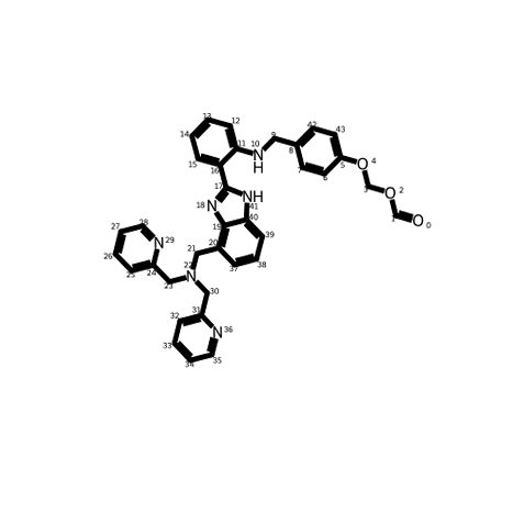 O=COCOc1ccc(CNc2ccccc2-c2nc3c(CN(Cc4ccccn4)Cc4ccccn4)cccc3[nH]2)cc1